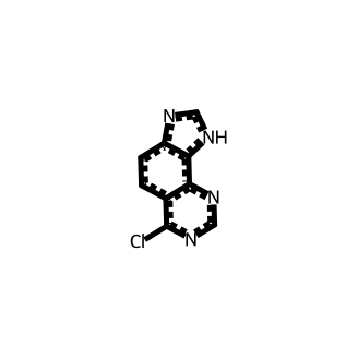 Clc1ncnc2c1ccc1nc[nH]c12